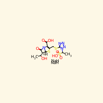 CC(O)[C@H]1C(=O)N2C(C(=O)O)=C(CSc3nnnn3C(C)S(=O)(=O)O)S[C@H]12.[NaH].[NaH]